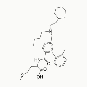 CCCCN(CCC1CCCCC1)Cc1ccc(C(=O)NC(CCSC)C(=O)O)c(-c2ccccc2C)c1